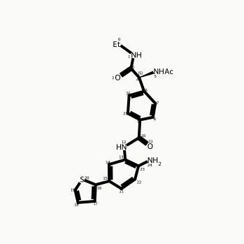 CCNC(=O)[C@@H](NC(C)=O)c1ccc(C(=O)Nc2cc(-c3cccs3)ccc2N)cc1